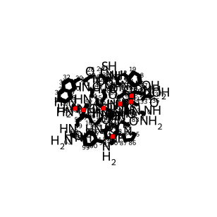 N=C(N)NCCC[C@H](NC(=O)[C@H](Cc1ccc(O)cc1)NC(=O)[C@H](CS)NC(=O)[C@H](Cc1ccc2ccccc2c1)NC(=O)[C@H](CCCNC(=N)N)NC(=O)[C@@H](N)CCCNC(=N)N)C(=O)N[C@@H](CCCCN)C(=O)N[C@H](CCCCN)C(=O)N1CCC[C@H]1C(=O)N[C@@H](Cc1ccc(O)cc1)C(=O)N[C@@H](CCCNC(=N)N)C(=O)N[C@@H](CCCNC(N)=O)C(=O)N[C@@H](CS)C(=O)N[C@@H](CCC(=O)O)C(=O)O